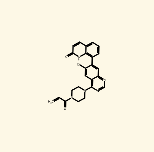 C=CC(=O)N1CCN(c2ncnc3cc(-c4cccc5ccc(=O)[nH]c45)c(Cl)cc23)CC1